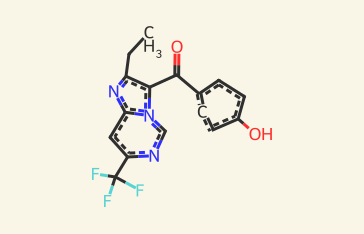 CCc1nc2cc(C(F)(F)F)ncn2c1C(=O)c1ccc(O)cc1